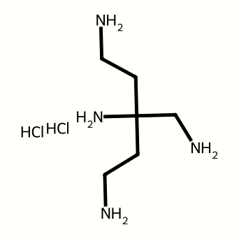 Cl.Cl.NCCC(N)(CN)CCN